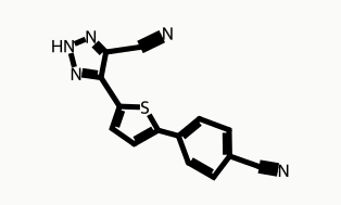 N#Cc1ccc(-c2ccc(-c3n[nH]nc3C#N)s2)cc1